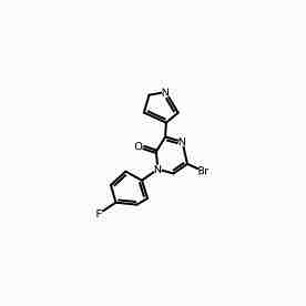 O=c1c(C2=CCN=C2)nc(Br)cn1-c1ccc(F)cc1